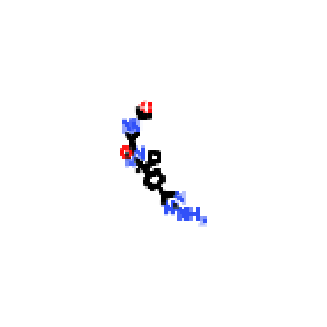 C[C@@](c1ccc(-c2cnc(N)nc2)cc1)(c1noc(-c2cnn(C3COC3)c2)n1)C1CCC1